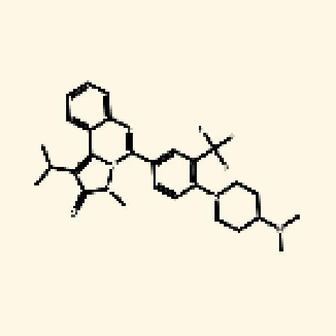 CC(C)c1c(=O)n(C)n2c(-c3ccc(N4CCC(N(C)C)CC4)c(C(F)(F)F)c3)nc3ccccc3c12